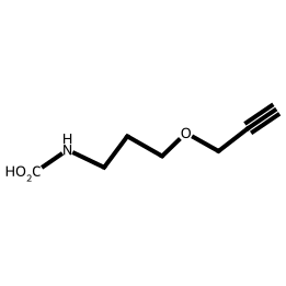 C#CCOCCCNC(=O)O